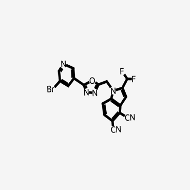 N#Cc1ccc2c(cc(C(F)F)n2Cc2nnc(-c3cncc(Br)c3)o2)c1C#N